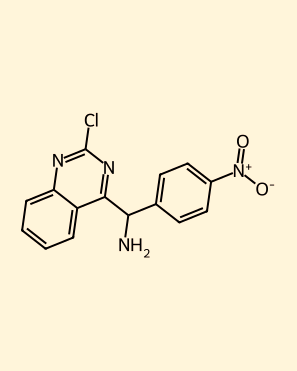 NC(c1ccc([N+](=O)[O-])cc1)c1nc(Cl)nc2ccccc12